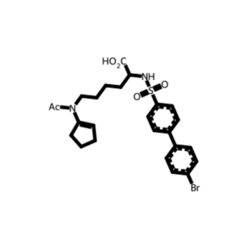 CC(=O)N(CCCCC(NS(=O)(=O)c1ccc(-c2ccc(Br)cc2)cc1)C(=O)O)C1=CCCC1